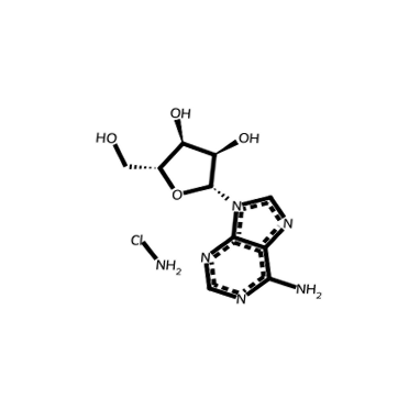 NCl.Nc1ncnc2c1ncn2[C@@H]1O[C@H](CO)[C@@H](O)[C@H]1O